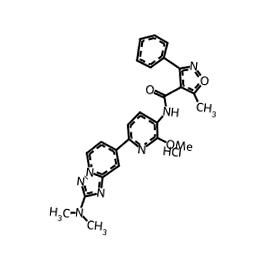 COc1nc(-c2ccn3nc(N(C)C)nc3c2)ccc1NC(=O)c1c(-c2ccccc2)noc1C.Cl